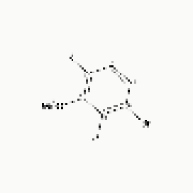 COc1c(C)ccc(Br)c1C